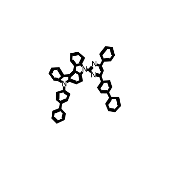 c1ccc(-c2ccc(-c3cc(-c4ccccc4)nc(-n4c5ccccc5c5c6c7ccccc7n(-c7ccc(-c8ccccc8)cc7)c6ccc54)n3)cc2)cc1